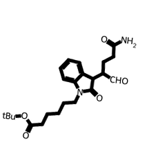 CC(C)(C)OC(=O)CCCCCN1C(=O)C(C(C=O)CCC(N)=O)c2ccccc21